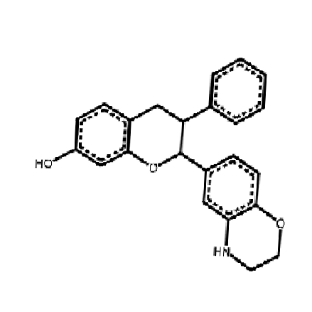 Oc1ccc2c(c1)OC(c1ccc3c(c1)NCCO3)C(c1ccccc1)C2